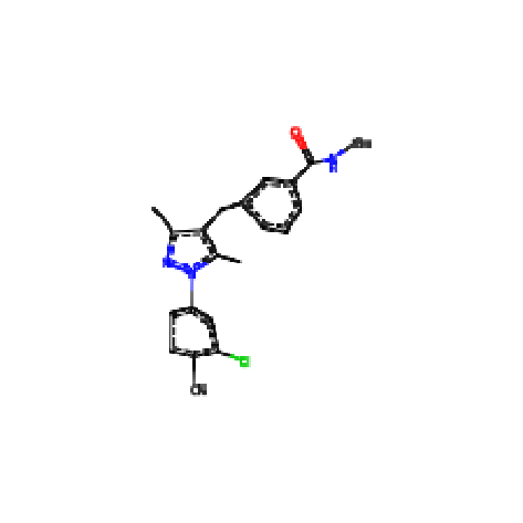 Cc1nn(-c2ccc(C#N)c(Cl)c2)c(C)c1Cc1cccc(C(=O)NC(C)(C)C)c1